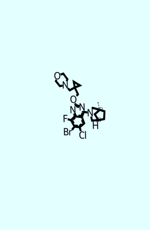 C[C@@]12CC[C@H](CN(c3nc(OCC4(CN5CCOCC5)CC4)nc4c(F)c(Br)c(Cl)cc34)C1)C2